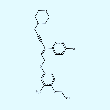 Cc1cc(OCC=C(C#CCN2CCOCC2)c2ccc(Br)cc2)ccc1OCC(=O)O